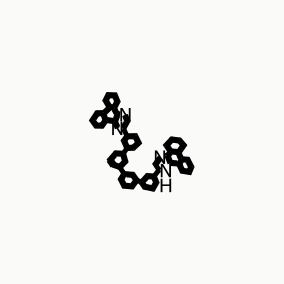 c1cc(-c2cccc(-c3cnc4c5ccccc5c5ccccc5c4n3)c2)cc(-c2cccc(-c3cccc(C4C=Nc5c(c6ccccc6c6ccccc56)N4)c3)c2)c#1